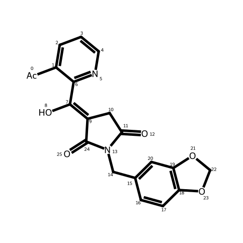 CC(=O)c1cccnc1/C(O)=C1\CC(=O)N(Cc2ccc3c(c2)OCO3)C1=O